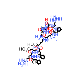 CC(Cc1ccccc1)C(=O)NC(CCCNC(=N)N)C(=O)NC(CCC(=O)O)C(=O)N[C@H](Cc1c[nH]c2ccccc12)C(=O)NC(CCCCn1cc(CC(N)C(=O)N[C@H](Cc2ccccc2)C(=O)NC(CCCNC(=N)N)C(=O)N[C@H](CO)C(=O)NC(C(=O)N[C@H](CC(N)=O)C(N)=O)C(C)C)nn1)C(=O)O